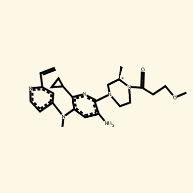 C=Cc1cc(N(C)c2cc(N)c(N3CCN(C(=O)CCOC)[C@H](C)C3)nc2C2CC2)ccn1